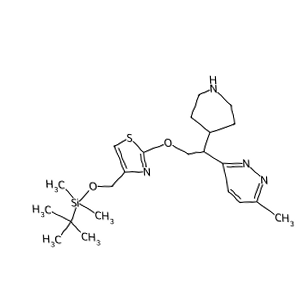 Cc1ccc(C(COc2nc(CO[Si](C)(C)C(C)(C)C)cs2)C2CCNCC2)nn1